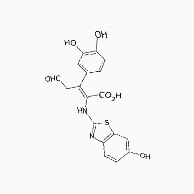 O=CC/C(=C(\Nc1nc2ccc(O)cc2s1)C(=O)O)c1ccc(O)c(O)c1